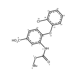 CC(C)(C)OC(=O)Nc1cc(C(=O)O)ccc1Oc1ccccc1Cl